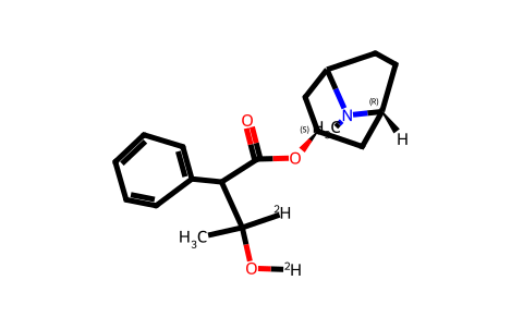 [2H]OC([2H])(C)C(C(=O)O[C@H]1CC2CC[C@H](C1)N2C)c1ccccc1